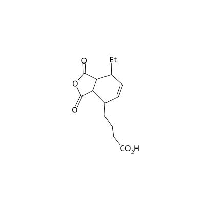 CCC1C=CC(CCCC(=O)O)C2C(=O)OC(=O)C12